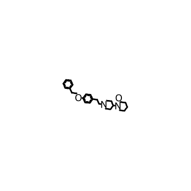 O=C1CCCCN1C1CCN(CCc2ccc(OCCc3ccccc3)cc2)CC1